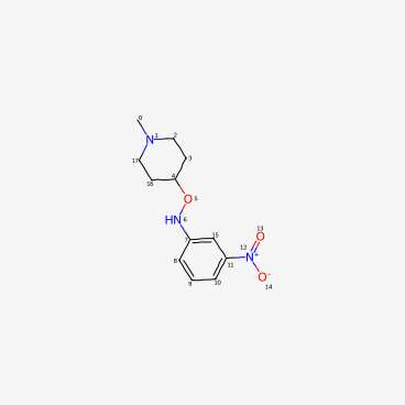 CN1CCC(ONc2cccc([N+](=O)[O-])c2)CC1